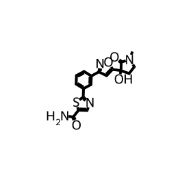 CN1CCC(O)(c2cc(-c3cccc(-c4ncc(C(N)=O)s4)c3)no2)C1=O